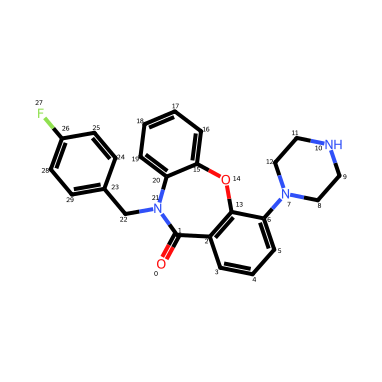 O=C1c2cccc(N3CCNCC3)c2Oc2ccccc2N1Cc1ccc(F)cc1